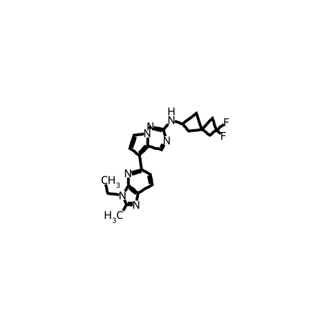 CCn1c(C)nc2ccc(-c3ccn4nc(NC5CC6(C5)CC(F)(F)C6)ncc34)nc21